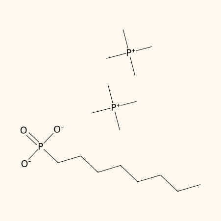 CCCCCCCCP(=O)([O-])[O-].C[P+](C)(C)C.C[P+](C)(C)C